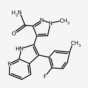 Cc1ccc(F)c(-c2c(-c3cn(C)nc3C(N)=O)[nH]c3ncccc23)c1